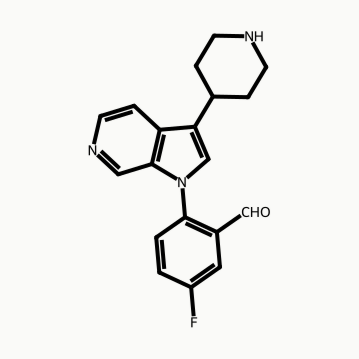 O=Cc1cc(F)ccc1-n1cc(C2CCNCC2)c2ccncc21